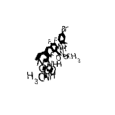 CNS(=O)(=O)Nc1nccc(Cc2cc(C(O)NOC)c(Nc3ccc(Br)cc3F)c(F)c2F)c1F